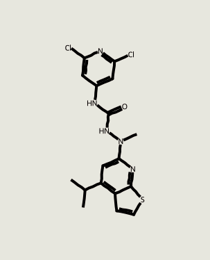 CC(C)c1cc(N(C)NC(=O)Nc2cc(Cl)nc(Cl)c2)nc2sccc12